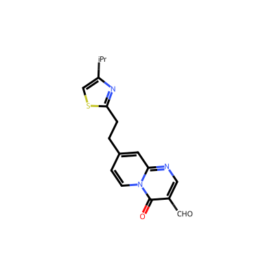 CC(C)c1csc(CCc2ccn3c(=O)c(C=O)cnc3c2)n1